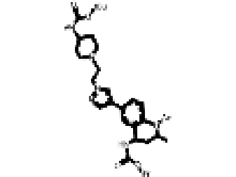 CC(=O)N1c2ccc(-c3cnn(CCN4CCC(NC(=O)OC(C)(C)C)CC4)c3)cc2C(NC(=O)OC(C)C)CC1C